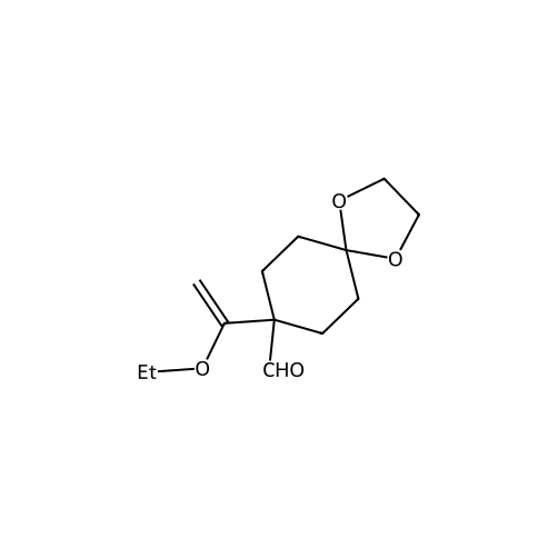 C=C(OCC)C1(C=O)CCC2(CC1)OCCO2